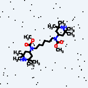 COC(=O)N(CCCCCCN(C(=O)OC)C1CC(C)(C)NC(C)(C)C1)C1CC(C)(C)NC(C)(C)C1